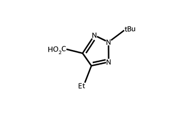 CCc1nn(C(C)(C)C)nc1C(=O)O